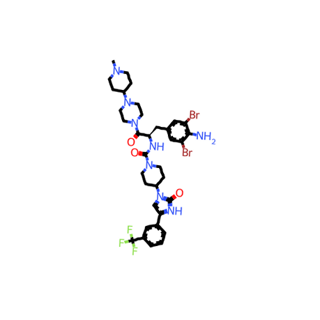 CN1CCC(N2CCN(C(=O)[C@@H](Cc3cc(Br)c(N)c(Br)c3)NC(=O)N3CCC(n4cc(-c5cccc(C(F)(F)F)c5)[nH]c4=O)CC3)CC2)CC1